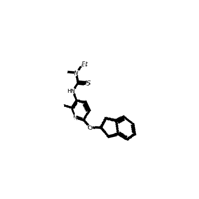 CCN(C)C(=S)Nc1ccc(OC2Cc3ccccc3C2)nc1C